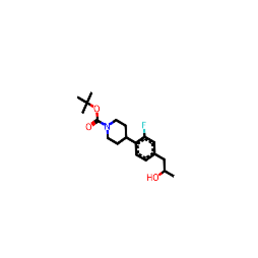 CC(O)Cc1ccc(C2CCN(C(=O)OC(C)(C)C)CC2)c(F)c1